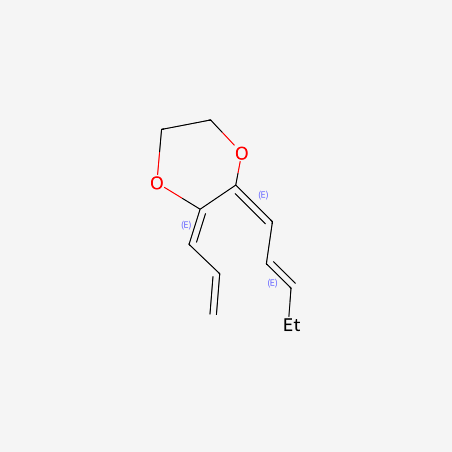 C=C/C=C1/OCCO/C1=C/C=C/CC